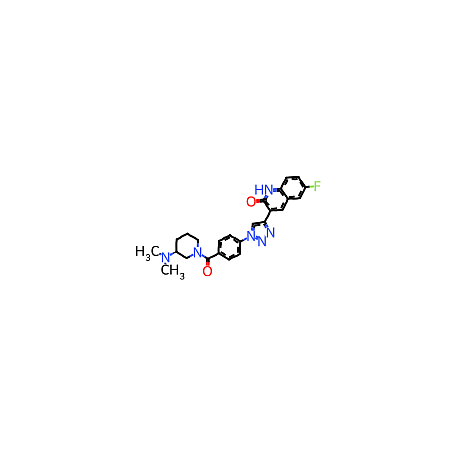 CN(C)[C@H]1CCCN(C(=O)c2ccc(-n3cc(-c4cc5cc(F)ccc5[nH]c4=O)nn3)cc2)C1